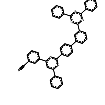 N#Cc1cccc(-c2cc(-c3ccccc3)nc(-c3ccc(-c4cccc(-c5nc(-c6ccccc6)nc(-c6ccccc6)n5)c4)cc3)n2)c1